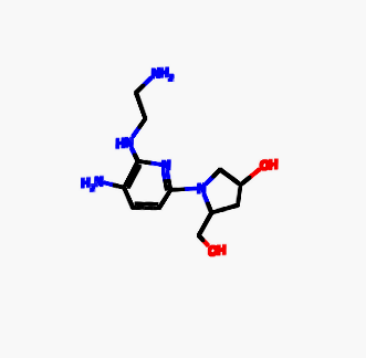 NCCNc1nc(N2CC(O)CC2CO)ccc1N